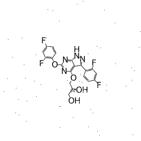 OC[C@H](O)COc1nc(Oc2ccc(F)cc2F)nc2[nH]nc(-c3ccc(F)cc3F)c12